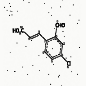 O=Cc1cc(Cl)ccc1C=CC(=O)O